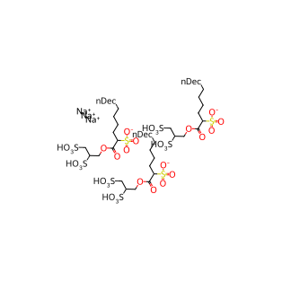 CCCCCCCCCCCCCCC(C(=O)OCC(CS(=O)(=O)O)S(=O)(=O)O)S(=O)(=O)[O-].CCCCCCCCCCCCCCC(C(=O)OCC(CS(=O)(=O)O)S(=O)(=O)O)S(=O)(=O)[O-].CCCCCCCCCCCCCCC(C(=O)OCC(CS(=O)(=O)O)S(=O)(=O)O)S(=O)(=O)[O-].[Na+].[Na+].[Na+]